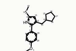 COc1ccc(-c2[nH]c(SC)cc2C[C]2CCCC2)cc1